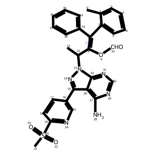 Cc1ccccc1/C(=C(\OC=O)C(C)n1nc(-c2ccc(S(C)(=O)=O)nc2)c2c(N)ncnc21)c1ccccc1